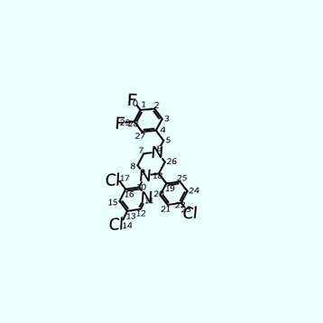 Fc1ccc(CN2CCN(c3ncc(Cl)cc3Cl)C(c3ccc(Cl)cc3)C2)cc1F